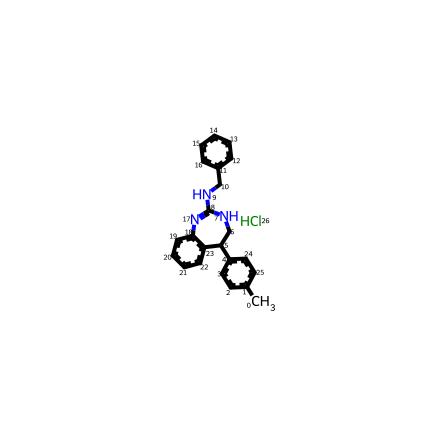 Cc1ccc(C2CNC(NCc3ccccc3)=Nc3ccccc32)cc1.Cl